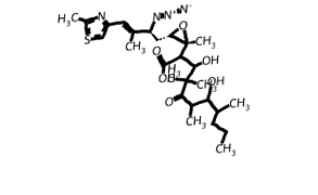 CCCC(C)C(O)C(C)C(=O)C(C)(C)C(O)C(C(=O)O)[C@@]1(C)O[C@H]1C[C@H](N=[N+]=[N-])/C(C)=C/c1csc(C)n1